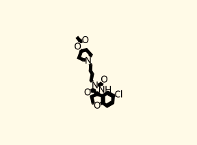 CC(=O)OC1CCN(CCCCN2C(=O)NC3(CCOc4ccc(Cl)cc43)C2=O)CC1